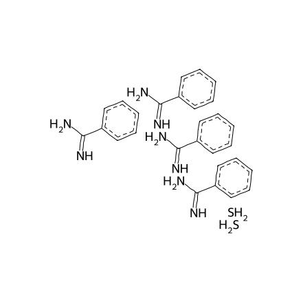 N=C(N)c1ccccc1.N=C(N)c1ccccc1.N=C(N)c1ccccc1.N=C(N)c1ccccc1.S.S